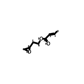 CC=CC(=O)OCCC1CO1